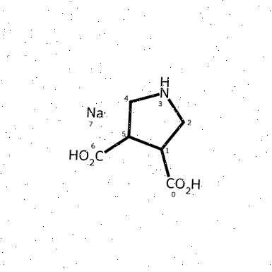 O=C(O)C1CNCC1C(=O)O.[Na]